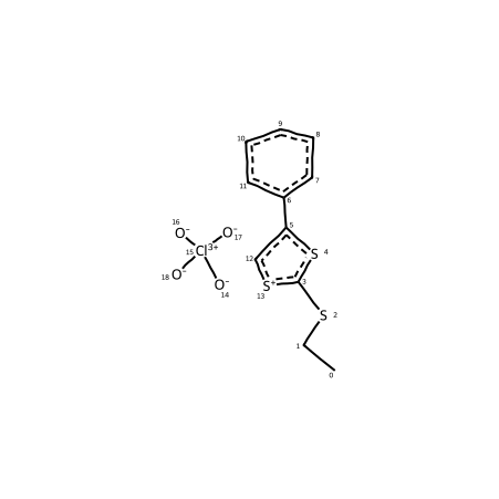 CCSc1sc(-c2ccccc2)c[s+]1.[O-][Cl+3]([O-])([O-])[O-]